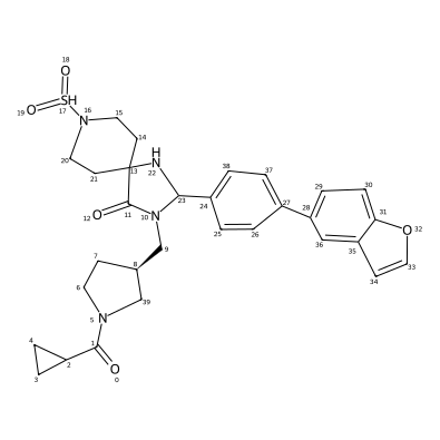 O=C(C1CC1)N1CC[C@@H](CN2C(=O)C3(CCN([SH](=O)=O)CC3)NC2c2ccc(-c3ccc4occc4c3)cc2)C1